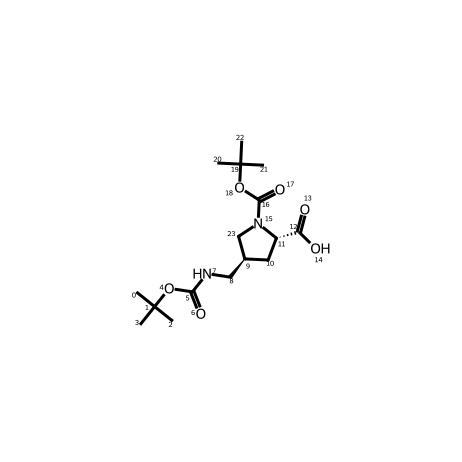 CC(C)(C)OC(=O)NC[C@@H]1C[C@@H](C(=O)O)N(C(=O)OC(C)(C)C)C1